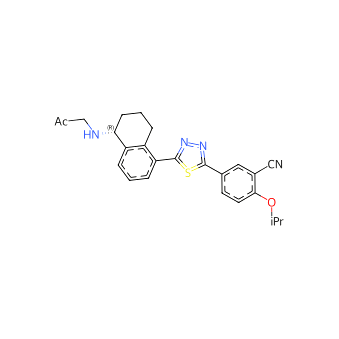 CC(=O)CN[C@@H]1CCCc2c(-c3nnc(-c4ccc(OC(C)C)c(C#N)c4)s3)cccc21